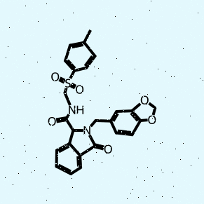 Cc1ccc(S(=O)(=O)CNC(=O)C2c3ccccc3C(=O)N2Cc2ccc3c(c2)OCO3)cc1